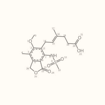 COc1c(C)c2c(c(NS(C)(=O)=O)c1C/C=C(\C)CCC(=O)O)C(=O)OC2